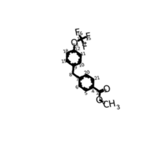 COC(=O)c1ccc(Cc2ccc(OC(F)(F)F)cc2)cc1